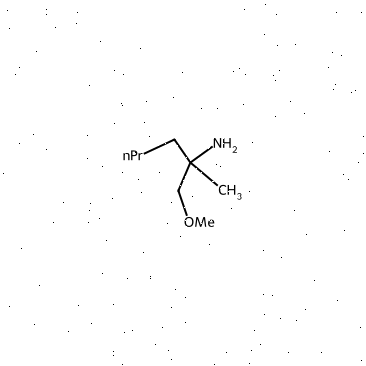 CCCCC(C)(N)COC